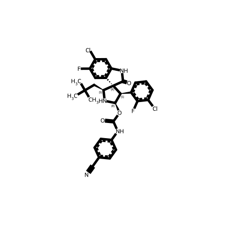 CC(C)(C)C[C@@H]1N[C@H](OC(=O)Nc2ccc(C#N)cc2)[C@H](c2cccc(Cl)c2F)[C@]12C(=O)Nc1cc(Cl)c(F)cc12